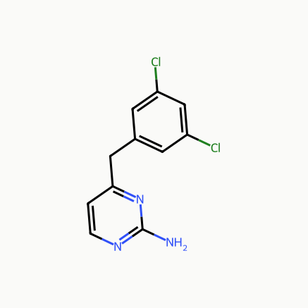 Nc1nccc(Cc2cc(Cl)cc(Cl)c2)n1